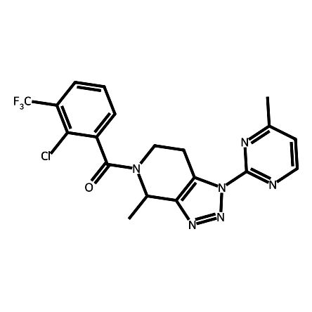 Cc1ccnc(-n2nnc3c2CCN(C(=O)c2cccc(C(F)(F)F)c2Cl)C3C)n1